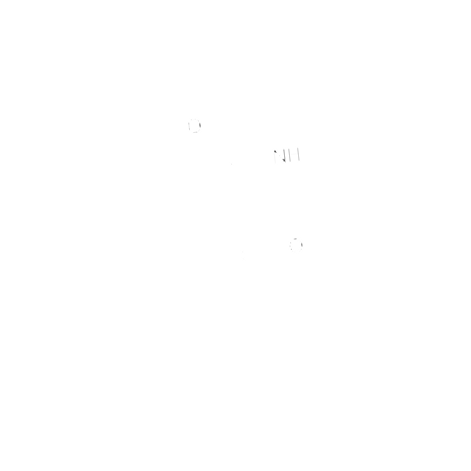 O=C(Nc1ccccc1)C1CCc2ccccc2C1=O